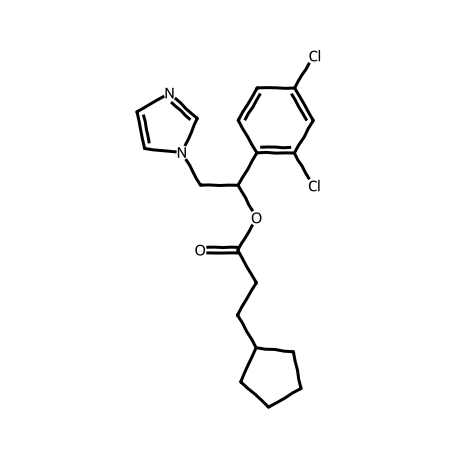 O=C(CCC1CCCC1)OC(Cn1ccnc1)c1ccc(Cl)cc1Cl